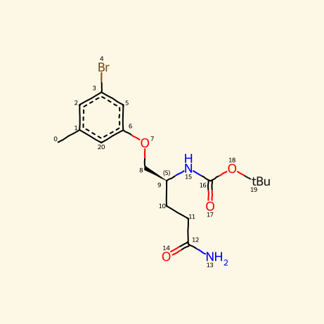 Cc1cc(Br)cc(OC[C@H](CCC(N)=O)NC(=O)OC(C)(C)C)c1